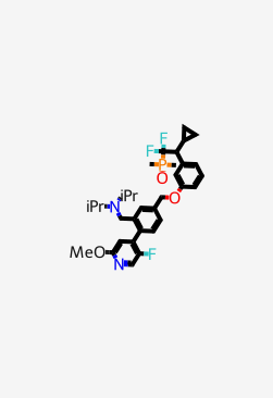 COc1cc(-c2ccc(COc3cccc(C(C4CC4)C(F)(F)P(C)(C)=O)c3)cc2CN(C(C)C)C(C)C)c(F)cn1